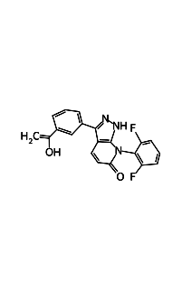 C=C(O)c1cccc(-c2n[nH]c3c2ccc(=O)n3-c2c(F)cccc2F)c1